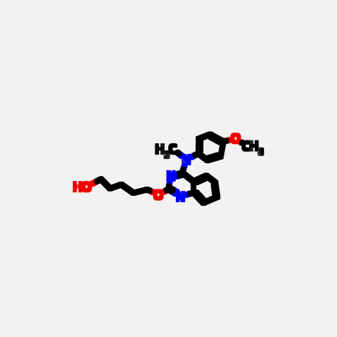 COc1ccc(N(C)c2nc(OCCCCCO)nc3ccccc23)cc1